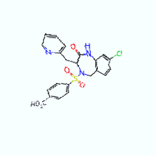 O=C(O)c1ccc(S(=O)(=O)N2Cc3ccc(Cl)cc3NC(=O)C2Cc2ccccn2)cc1